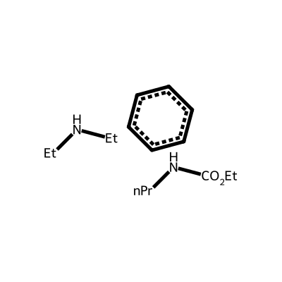 CCCNC(=O)OCC.CCNCC.c1ccccc1